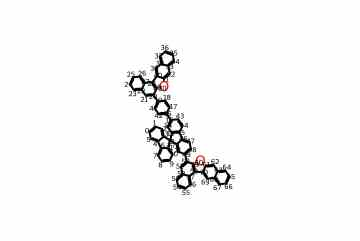 c1ccc2c(c1)-c1ccccc1C21c2cc(-c3ccc(-c4cc5ccccc5c5c4oc4cc6ccccc6cc45)cc3)ccc2-c2ccc(-c3cc4ccccc4c4c3oc3cc5ccccc5cc34)cc21